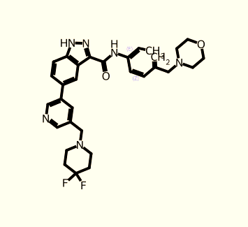 C=C(/C=C\C(=C/C)NC(=O)c1n[nH]c2ccc(-c3cncc(CN4CCC(F)(F)CC4)c3)cc12)CN1CCOCC1